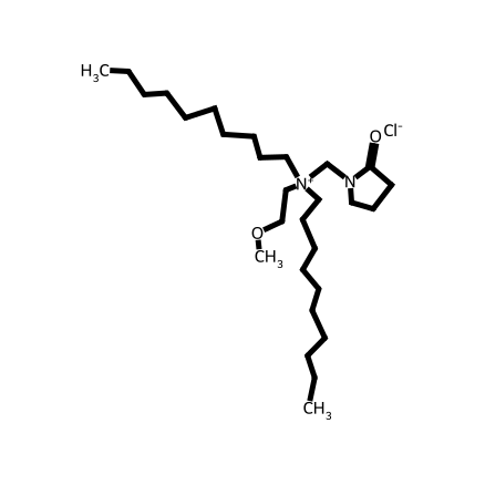 CCCCCCCCCC[N+](CCCCCCCCCC)(CCOC)CN1CCCC1=O.[Cl-]